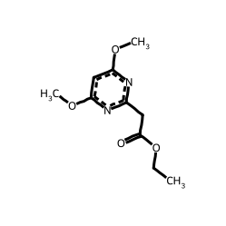 CCOC(=O)Cc1nc(OC)cc(OC)n1